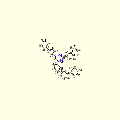 c1ccc(-c2ccc(-c3cc(-c4cccc(-c5cccc(-c6ccccc6)c5)c4)nc(-c4ccc5ccccc5c4)n3)cc2)cc1